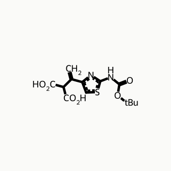 C=C(c1csc(NC(=O)OC(C)(C)C)n1)C(C(=O)O)C(=O)O